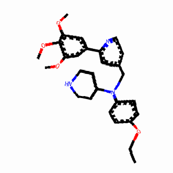 CCOc1ccc(N(Cc2ccnc(-c3cc(OC)c(OC)c(OC)c3)c2)C2CCNCC2)cc1